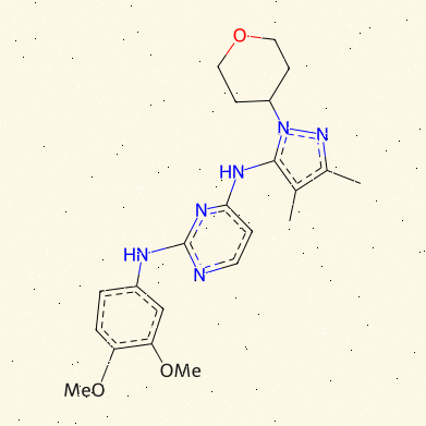 COc1ccc(Nc2nccc(Nc3c(C)c(C)nn3C3CCOCC3)n2)cc1OC